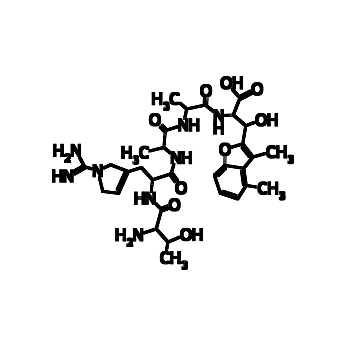 Cc1cccc2oc(C(O)C(NC(=O)C(C)NC(=O)C(C)NC(=O)C(CC3=CCN(C(=N)N)C3)NC(=O)C(N)C(C)O)C(=O)O)c(C)c12